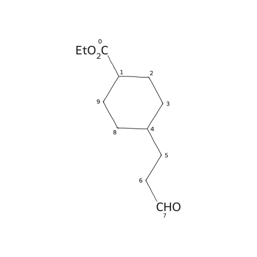 CCOC(=O)C1CCC(CCC=O)CC1